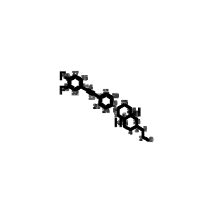 CCCC1CC[C@@H]2C[C@H](c3ccc(C#Cc4ccc(F)c(F)c4)cc3)CC[C@@H]2C1